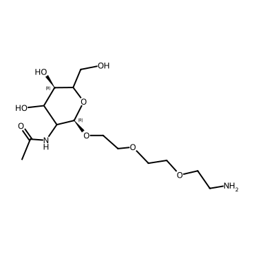 CC(=O)NC1C(O)[C@@H](O)C(CO)O[C@H]1OCCOCCOCCN